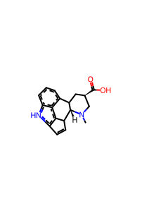 CN1C[C@H](C(=O)O)CC2c3cccc4[nH]c5c(c34)C(C=C5)[C@H]21